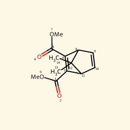 COC(=O)C1=C(C(=O)OC)C2C=CC1C2(C)C